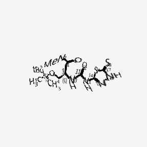 CNC(=O)[C@H](CO[Si](C)(C)C(C)(C)C)NC(=O)Nc1n[nH]c(=S)s1